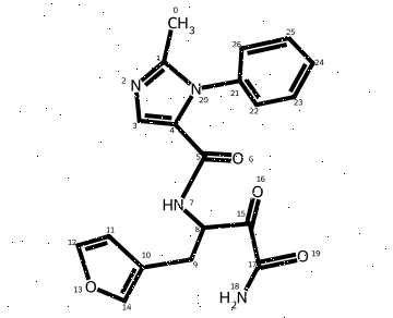 Cc1ncc(C(=O)NC(Cc2ccoc2)C(=O)C(N)=O)n1-c1ccccc1